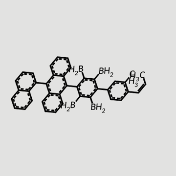 Bc1c(B)c(-c2c3ccccc3c(-c3cccc4ccccc34)c3ccccc23)c(B)c(B)c1-c1ccc(/C=C\C)c(C)c1